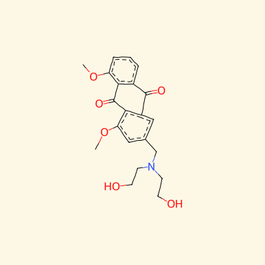 COc1cccc2c1C(=O)c1c(OC)cc(CN(CCO)CCO)cc1C2=O